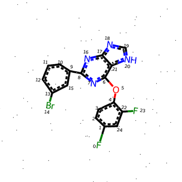 Fc1ccc(Oc2nc(-c3cccc(Br)c3)nc3nc[nH]c23)c(F)c1